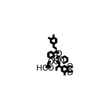 CCC(C(=O)N1CCCC[C@H]1C(=O)O[C@H](CCc1ccc(C)c(C)c1)c1cccc(OCC(=O)O)c1)c1cc(C)c(OC)c(OC)c1